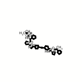 C[C@@H](C(=O)N1CCC[C@H]1c1nc2ccc(C#Cc3ccc(-c4cnc([C@@H]5CCCN5C(=O)[C@H](NC(=O)OC(C)(C)C)c5ccccc5)[nH]4)cc3)cc2[nH]1)c1ccccc1